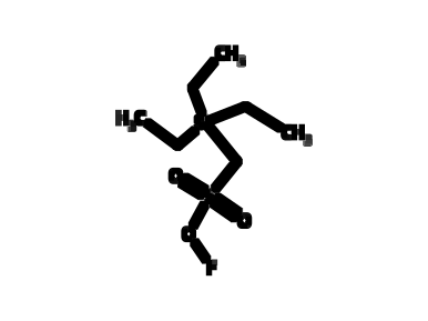 CC[Si](CC)(CC)CS(=O)(=O)OF